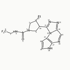 CCC1CN(C(=O)NCC(F)(F)F)CC1c1nnc2cnc3[nH]ccc3n12